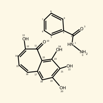 NNC(=O)c1ccccc1.O=c1c(O)cccc2cc(O)c(O)c(O)c12